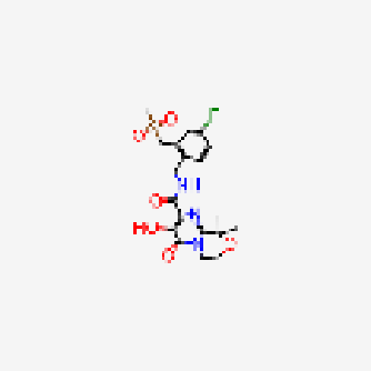 CC1(C)OCCn2c1nc(C(=O)NCc1ccc(F)cc1CS(C)(=O)=O)c(O)c2=O